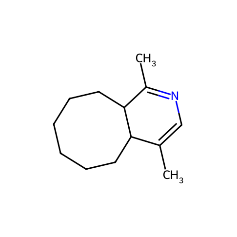 CC1=CN=C(C)C2CCCCCCC12